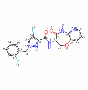 CN1C(=O)[C@@H](NC(=O)c2nn(Cc3ccccc3F)cc2F)COc2cccnc21